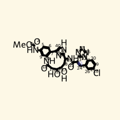 COC(=O)Nc1ccc2c(c1)NC(=O)CC(O)C(O)CC(NC(=O)/C=C/c1cc(Cl)ccc1-n1cnnn1)c1nc-2c[nH]1